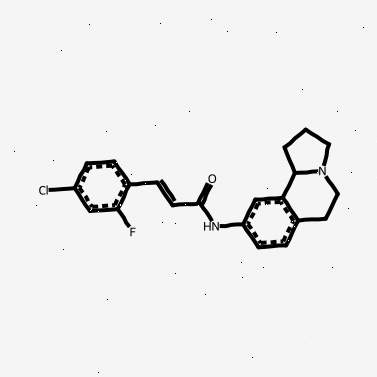 O=C(C=Cc1ccc(Cl)cc1F)Nc1ccc2c(c1)C1CCCN1CC2